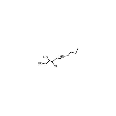 CCCCNCCC(O)C(O)CO